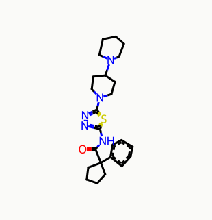 O=C(Nc1nnc(N2CCC(N3CCCCC3)CC2)s1)C1(c2ccccc2)CCCC1